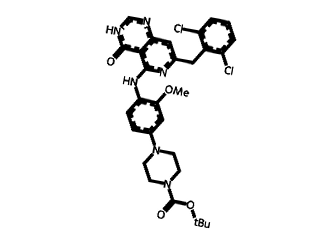 COc1cc(N2CCN(C(=O)OC(C)(C)C)CC2)ccc1Nc1nc(Cc2c(Cl)cccc2Cl)cc2nc[nH]c(=O)c12